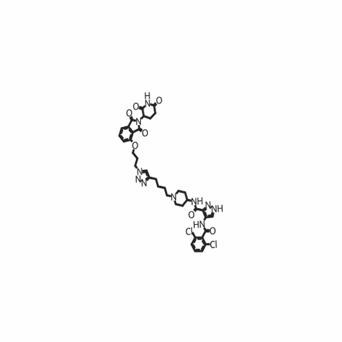 O=C1CCC(N2C(=O)c3cccc(OCCCn4cc(CCCCN5CCC(NC(=O)c6n[nH]cc6NC(=O)c6c(Cl)cccc6Cl)CC5)nn4)c3C2=O)C(=O)N1